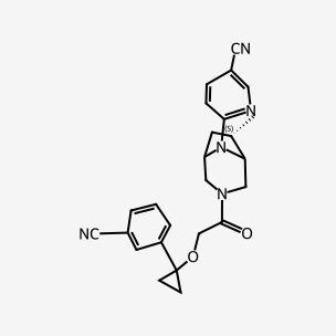 C[C@H]1CC2CN(C(=O)COC3(c4cccc(C#N)c4)CC3)CC1N2c1ccc(C#N)cn1